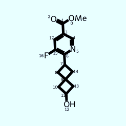 COC(=O)c1cnc(C2CC3(CC(O)C3)C2)c(F)c1